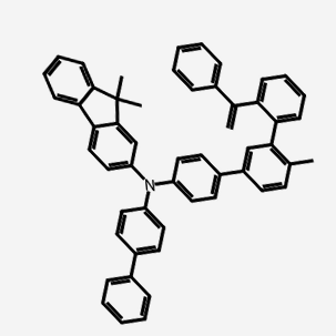 C=C(c1ccccc1)c1ccccc1-c1cc(-c2ccc(N(c3ccc(-c4ccccc4)cc3)c3ccc4c(c3)C(C)(C)c3ccccc3-4)cc2)ccc1C